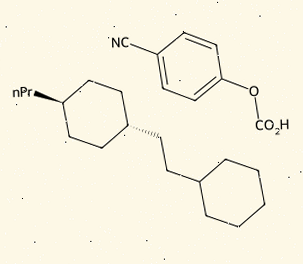 CCC[C@H]1CC[C@H](CCC2CCCCC2)CC1.N#Cc1ccc(OC(=O)O)cc1